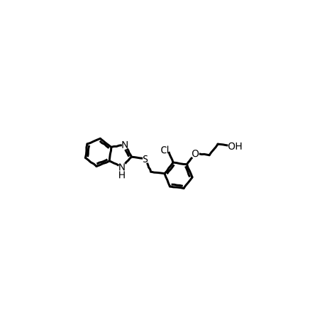 OCCOc1cccc(CSc2nc3ccccc3[nH]2)c1Cl